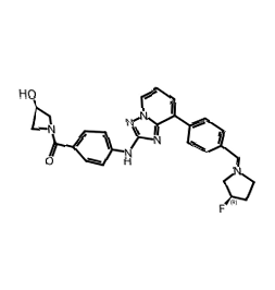 O=C(c1ccc(Nc2nc3c(-c4ccc(CN5CC[C@@H](F)C5)cc4)cccn3n2)cc1)N1CC(O)C1